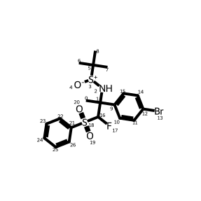 CC(N[S+]([O-])C(C)(C)C)(c1ccc(Br)cc1)C(F)S(=O)(=O)c1ccccc1